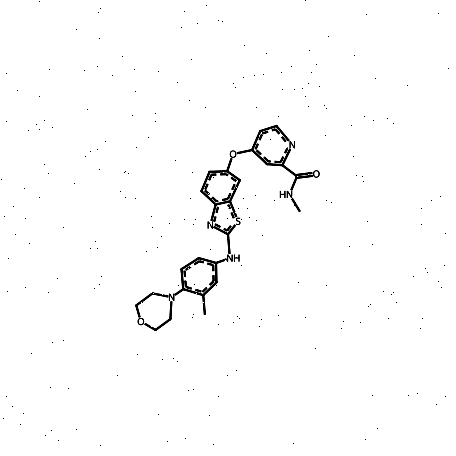 CNC(=O)c1cc(Oc2ccc3nc(Nc4ccc(N5CCOCC5)c(C)c4)sc3c2)ccn1